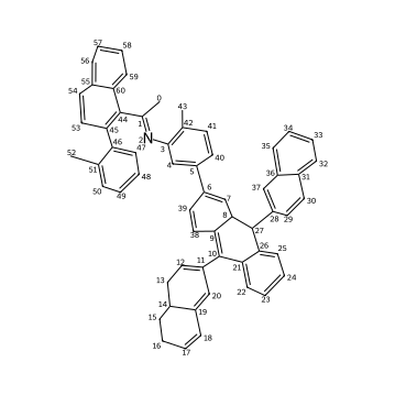 C/C(=N\c1cc(C2=CC3C(=C(C4=CCC5CCC=CC5=C4)c4ccccc4C3c3ccc4ccccc4c3)C=C2)ccc1C)c1c(-c2ccccc2C)ccc2ccccc12